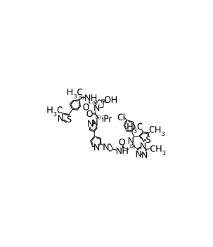 Cc1ncsc1-c1ccc([C@H](C)NC(=O)[C@@H]2C[C@@H](O)CN2C(=O)[C@H](C(C)C)n2cc(-c3ccnc(N4CC(NC(=O)C[C@@H]5N=C(c6ccc(Cl)cc6)c6c(sc(C)c6C)-n6c(C)nnc65)C4)c3)cn2)cc1